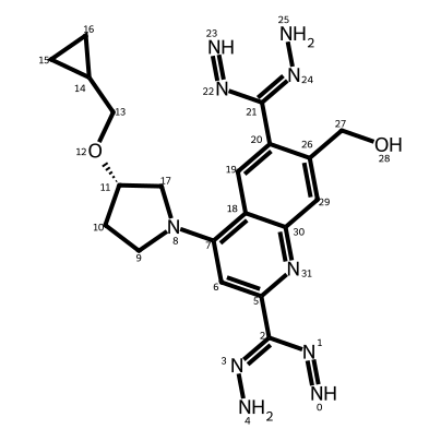 N=NC(=NN)c1cc(N2CC[C@H](OCC3CC3)C2)c2cc(C(N=N)=NN)c(CO)cc2n1